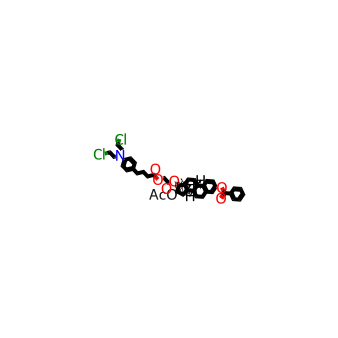 CC(=O)O[C@@H]1C[C@H]2[C@@H]3CCc4cc(OC(=O)c5ccccc5)ccc4[C@H]3CC[C@]2(C)[C@H]1OC(=O)COC(=O)CCCc1ccc(N(CCCl)CCCl)cc1